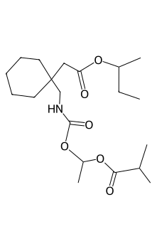 CCC(C)OC(=O)CC1(CNC(=O)OC(C)OC(=O)C(C)C)CCCCC1